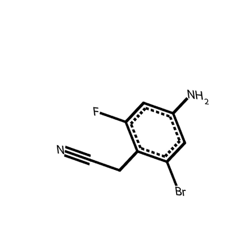 N#CCc1c(F)cc(N)cc1Br